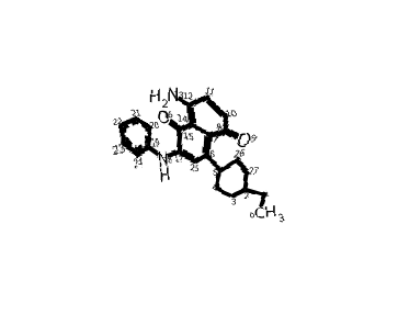 CCC1CCC(C2=C3C(=O)C=CC(N)=C3C(=O)C(Nc3ccccc3)=C2)CC1